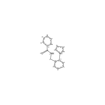 O=C(NCc1ccccc1-n1cccc1)c1ccccc1